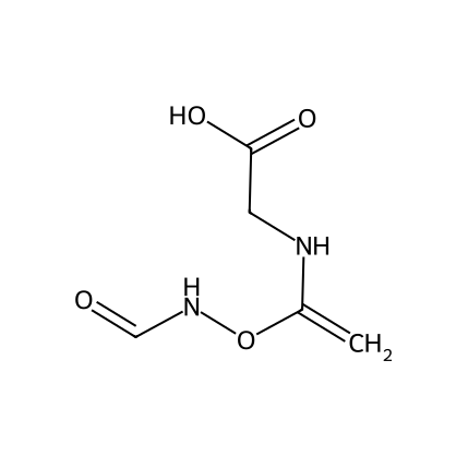 C=C(NCC(=O)O)ONC=O